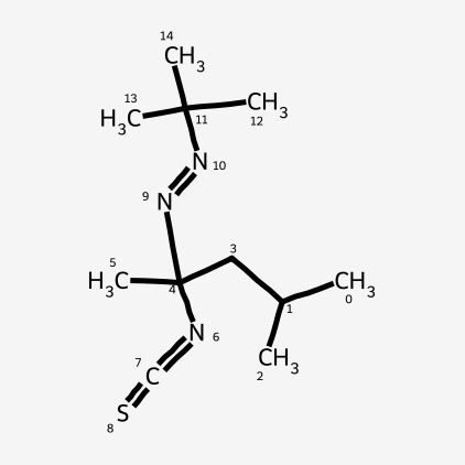 CC(C)CC(C)(N=C=S)/N=N/C(C)(C)C